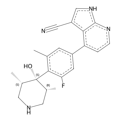 Cc1cc(-c2ccnc3[nH]cc(C#N)c23)cc(F)c1[C@@]1(O)[C@H](C)CNC[C@@H]1C